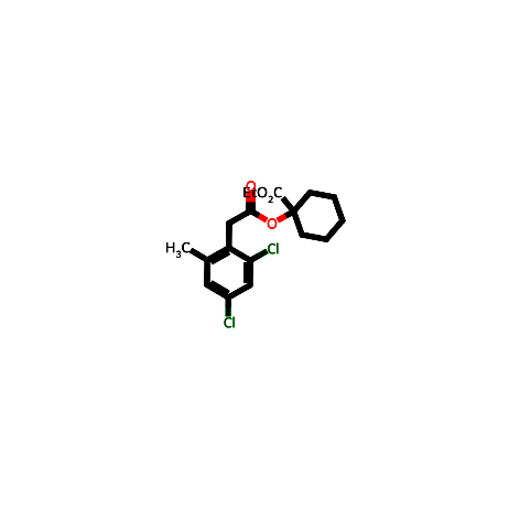 CCOC(=O)C1(OC(=O)Cc2c(C)cc(Cl)cc2Cl)CCCCC1